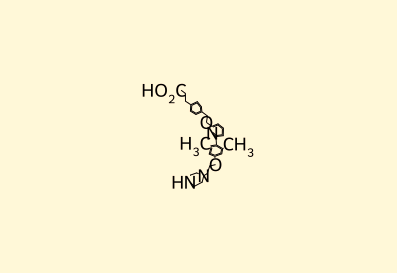 Cc1cc(OCCN2CCNCC2)cc(C)c1-c1cccc(OCc2ccc(CCC(=O)O)cc2)n1